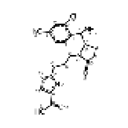 Cc1ccc(C(N)[C@H]2CCC(=O)N2CCSc2nc(C(=O)O)cs2)c(Cl)c1